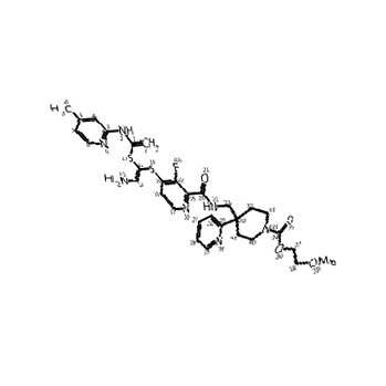 C=C(Nc1cc(C)ccn1)S/C(=C\N)Sc1ccnc(C(=O)NCC2(c3ccccn3)CCN(C(=O)OCCOC)CC2)c1F